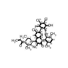 C=CC(=O)N1[C@H](C)CN(c2c(C#N)c(=O)n(C3=C(C)C=CN(C)C3C(C)C)c3nc(-c4c(F)c(O)c(Cl)c(Cl)c4F)c(Cl)cc23)C[C@@H]1C